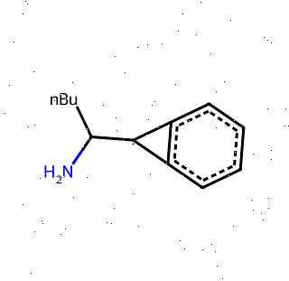 [CH2]CCCC(N)[C]1c2ccccc21